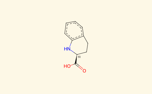 O=C(O)[C@@H]1CCc2ccccc2N1